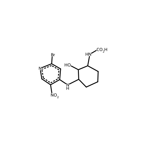 O=C(O)NC1CCCC(Nc2cc(Br)ncc2[N+](=O)[O-])C1O